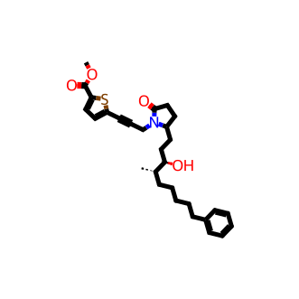 COC(=O)c1ccc(C#CCN2C(=O)CCC2CC[C@@H](O)[C@@H](C)CCCCCc2ccccc2)s1